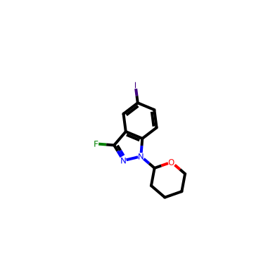 Fc1nn(C2CCCCO2)c2ccc(I)cc12